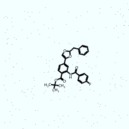 CC(C)(C)OC(=O)c1ccc(C2=COC(Cc3ccccc3)O2)cc1NC(=O)c1ccc(F)cc1